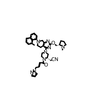 Cc1cccc2cccc(N3CCc4c(nc(OC[C@@H]5CCCN5C)nc4N4CCN(C(=O)/C=C/Cn5cccn5)[C@@H](CC#N)C4)C3)c12